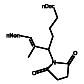 CCCCCCCCC/C=C(\C)C(CCCCCCCCCCCCC)N1C(=O)CCC1=O